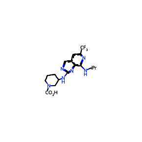 CC(C)Nc1nc(C(F)(F)F)cc2cnc(NC3CCCN(C(=O)O)C3)nc12